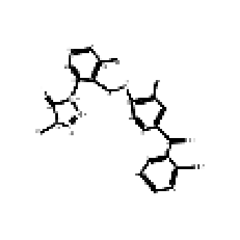 Cc1cc(C(=O)c2ccccc2Cl)ccc1OCc1c(C)cccc1-n1nnn(C)c1=O